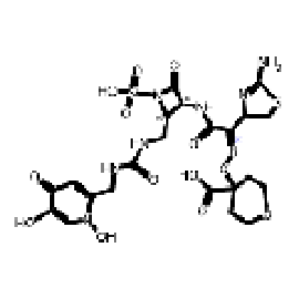 NC1=NC(/C(=N/OC2(C(=O)O)CCOCC2)C(=O)N[C@@H]2C(=O)N(S(=O)(=O)O)[C@@H]2CNC(=O)NCc2cc(=O)c(O)cn2O)CS1